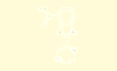 NC(=O)c1cccc2[nH]c(C3CNCCN3)nc12